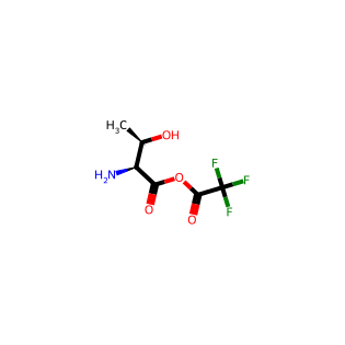 C[C@@H](O)[C@H](N)C(=O)OC(=O)C(F)(F)F